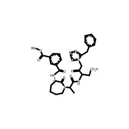 CC(C(=O)NC(CC(=O)O)C(=O)Cn1nnnc1Cc1ccccc1)N1CCCC[C@H](NC(=O)c2cccc(C(=O)OC(C)(C)C)c2)C1=O